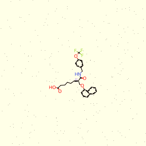 O=C(O)CCCC/C=C(\COc1cccc2ccccc12)C(=O)NCc1ccc(OC(F)(F)F)cc1